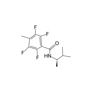 Cc1c(F)c(F)c(C(=O)N[C@H](C)C(C)C)c(F)c1F